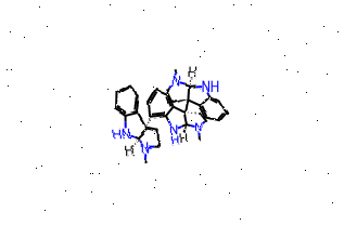 CN1CC[C@]2(c3cccc4c3N[C@H]3N(C)CC[C@@]43[C@]34CCN(C)[C@H]3Nc3ccccc34)c3ccccc3N[C@H]12